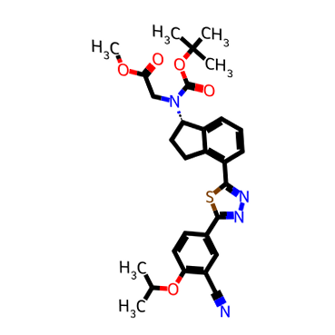 COC(=O)CN(C(=O)OC(C)(C)C)[C@H]1CCc2c(-c3nnc(-c4ccc(OC(C)C)c(C#N)c4)s3)cccc21